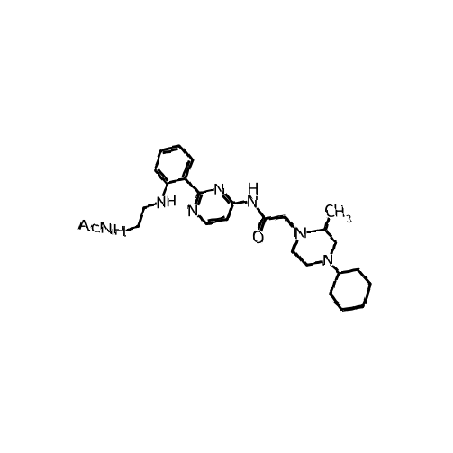 CC(=O)NCCNc1ccccc1-c1nccc(NC(=O)CN2CCN(C3CCCCC3)CC2C)n1